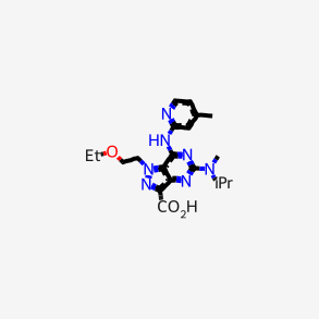 CCOCCn1nc(C(=O)O)c2nc(N(C)C(C)C)nc(Nc3cc(C)ccn3)c21